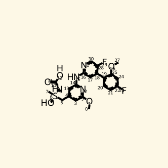 COc1cc(C[SH](C)(O)=NC(=O)O)cc(Nc2cc(-c3ccc(F)cc3OC)c(F)cn2)n1